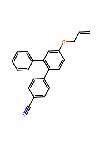 C=CCOc1ccc(-c2ccc(C#N)cc2)c(-c2ccccc2)c1